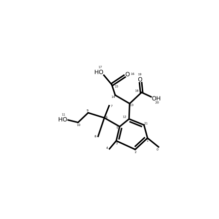 Cc1cc(C)c(C(C)(C)CCO)c(C(CC(=O)O)C(=O)O)c1